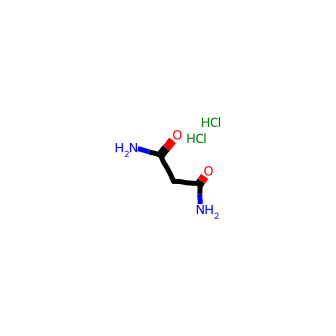 Cl.Cl.NC(=O)CC(N)=O